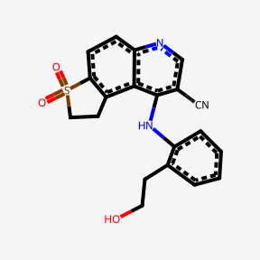 N#Cc1cnc2ccc3c(c2c1Nc1ccccc1CCO)CCS3(=O)=O